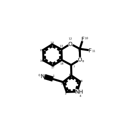 N#Cc1c[nH]cc1C1OC(F)(F)Oc2ccccc21